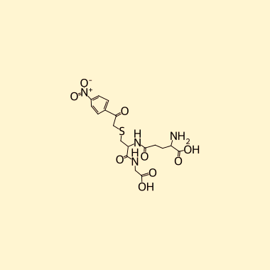 NC(CCC(=O)NC(CSCC(=O)c1ccc([N+](=O)[O-])cc1)C(=O)NCC(=O)O)C(=O)O